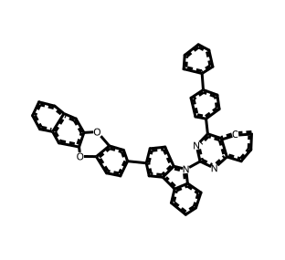 c1ccc(-c2ccc(-c3nc(-n4c5ccccc5c5cc(-c6ccc7c(c6)Oc6cc8ccccc8cc6O7)ccc54)nc4ccccc34)cc2)cc1